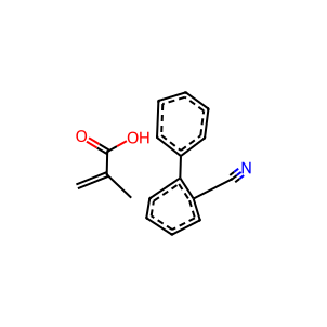 C=C(C)C(=O)O.N#Cc1ccccc1-c1ccccc1